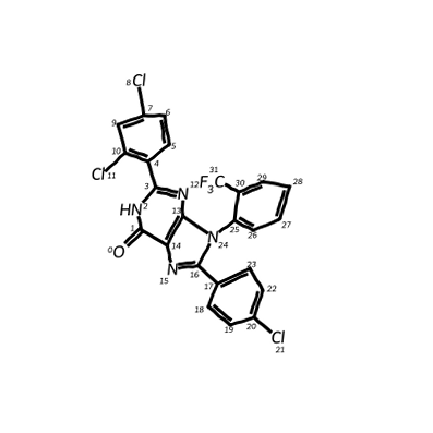 O=c1[nH]c(-c2ccc(Cl)cc2Cl)nc2c1nc(-c1ccc(Cl)cc1)n2-c1ccccc1C(F)(F)F